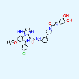 COc1ccc2c(c1)C(c1ccc(Cl)cc1)=N[C@@H](CC(=O)NCc1cccc(C3CCN(C(=O)/C=C/c4ccc(O)c(O)c4)CC3)c1)C(=N)N2C(C)=N